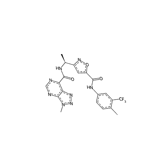 Cc1ccc(NC(=O)c2cc([C@H](C)NC(=O)c3ncnc4c3nnn4C)no2)cc1C(F)(F)F